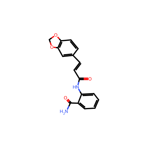 NC(=O)c1ccccc1NC(=O)C=Cc1ccc2c(c1)OCO2